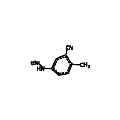 Cc1ccc(NC(C)(C)C)cc1C#N